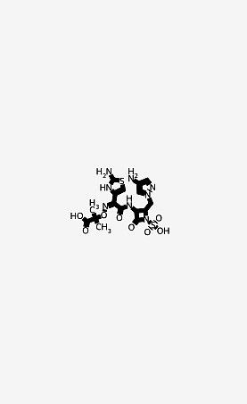 CC(C)(O/N=C(\C(=O)NC1C(=O)N(S(=O)(=O)O)C1Cn1cc(N)cn1)C1=CSC(N)N1)C(=O)O